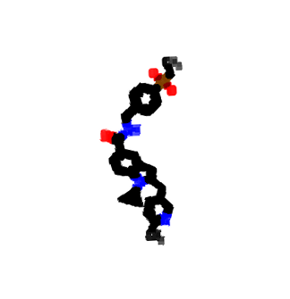 CCS(=O)(=O)c1ccc(CNC(=O)c2ccc3c(c2)cc(Cc2ccc(C)nc2)n3C2CC2)cc1